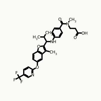 Cc1c(C(Nc2ccc(C(=O)N(C)CCC(=O)O)cc2)C(C)C)oc2ccc(Oc3ccc(C(F)(F)F)cn3)cc12